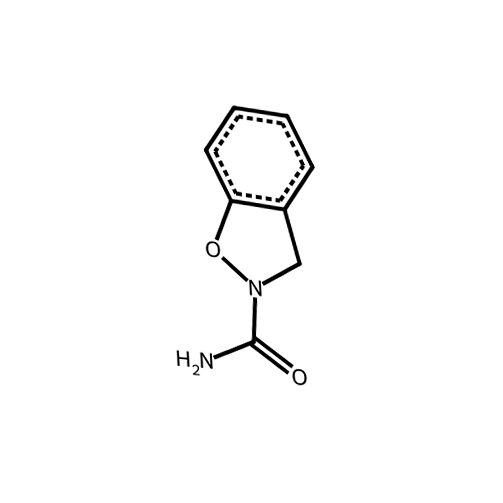 NC(=O)N1Cc2ccccc2O1